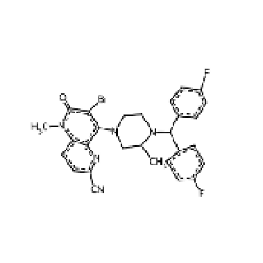 CC1CN(c2c(Br)c(=O)n(C)c3ccc(C#N)nc23)CCN1C(c1ccc(F)cc1)c1ccc(F)cc1